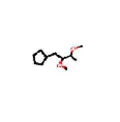 COC(C)C([CH]C1CCCC1)OC